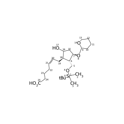 CC(C)(C)[Si](C)(C)OC[C@H]1[C@H](OC2CCCCO2)CC(O)[C@@H]1C/C=C\CCCC(=O)O